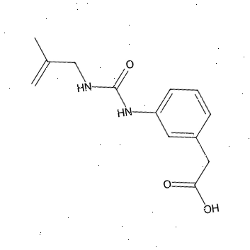 C=C(C)CNC(=O)Nc1cccc(CC(=O)O)c1